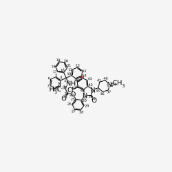 C[C@H](NC(c1ccccc1)(c1ccccc1)c1ccccc1)C(=O)Oc1ccccc1-n1c(=O)n(C2CCN(C)CC2)c2cccc(Cl)c21